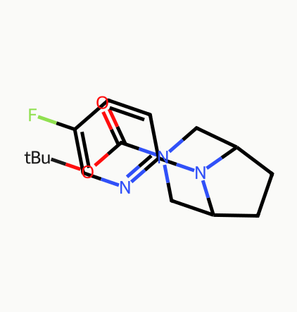 CC(C)(C)OC(=O)N1CC2CCC(C1)N2c1ccc(F)cn1